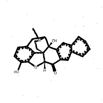 CN1CC[C@]23c4c5ccc(O)c4O[C@H]2C(=O)c2cc4ccccc4cc2[C@@]3(O)C1C5